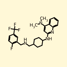 CN(C)c1cc(NC2CCC(CNCc3cc(C(F)(F)F)ccc3F)CC2)nc2ccccc12